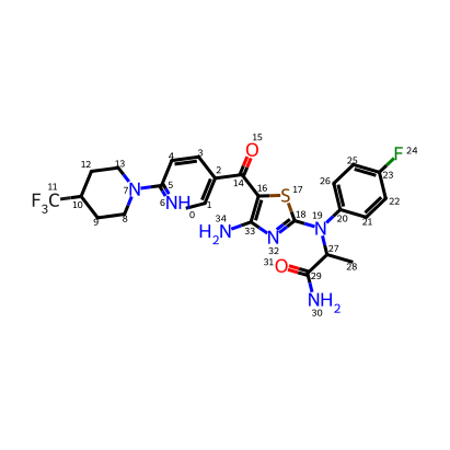 C/C=C(\C=C/C(=N)N1CCC(C(F)(F)F)CC1)C(=O)c1sc(N(c2ccc(F)cc2)C(C)C(N)=O)nc1N